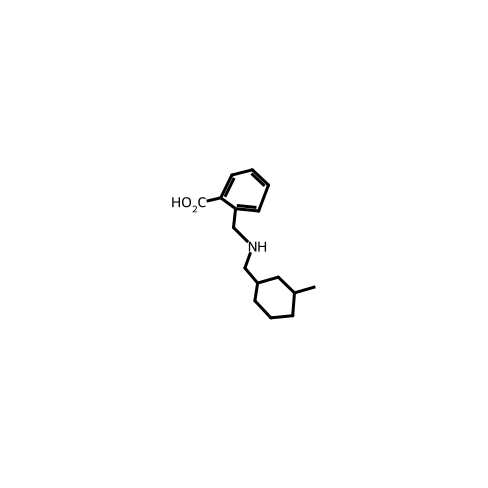 CC1CCCC(CNCc2ccccc2C(=O)O)C1